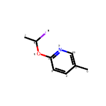 Cc1ccc(OC(C)I)nc1